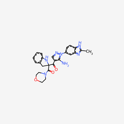 Cc1nc2cc(-n3ncc(C(=O)C4(C(=O)N5CCOCC5)Cc5ccccc5N4)c3N)ccc2[nH]1